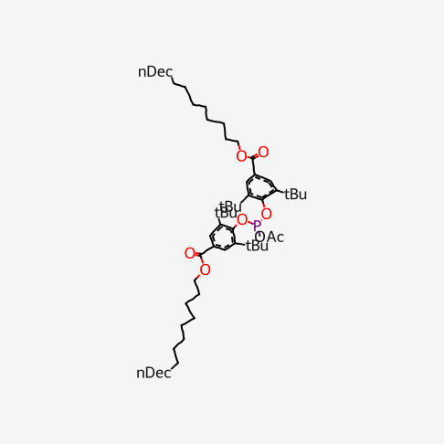 CCCCCCCCCCCCCCCCCCOC(=O)c1cc(C(C)(C)C)c(OP(OC(C)=O)Oc2c(C(C)(C)C)cc(C(=O)OCCCCCCCCCCCCCCCCCC)cc2C(C)(C)C)c(C(C)(C)C)c1